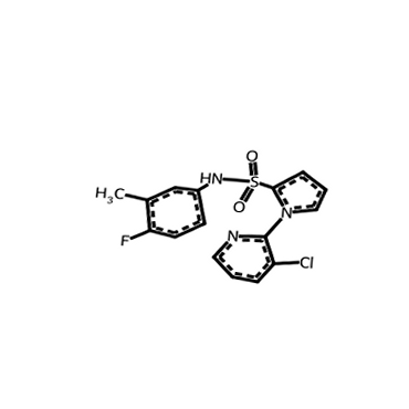 Cc1cc(NS(=O)(=O)c2cccn2-c2ncccc2Cl)ccc1F